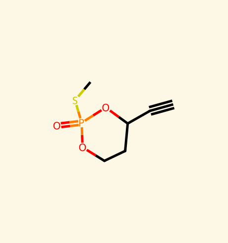 C#CC1CCOP(=O)(SC)O1